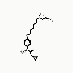 C=CCN(C)CCCCCCOc1ccc(N(C)C(=S)NC2CC2)cc1